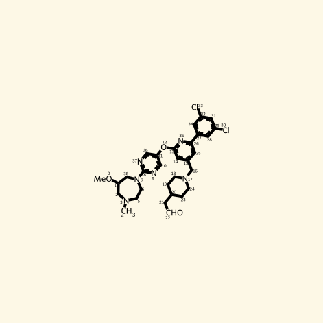 COC1CN(C)CCN(c2ncc(Oc3cc(CN4CCC(CC=O)CC4)cc(-c4cc(Cl)cc(Cl)c4)n3)cn2)C1